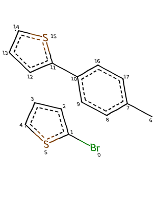 Brc1cc[c]s1.Cc1ccc(-c2cc[c]s2)cc1